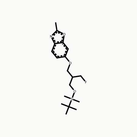 Cc1nc2ccc(OCC(CF)CO[Si](C)(C)C(C)(C)C)cc2o1